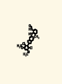 COc1cc(OC)c(Cl)c(-c2cc3cnc(Nc4c(C)cccc4NC=O)cc3s2)c1Cl